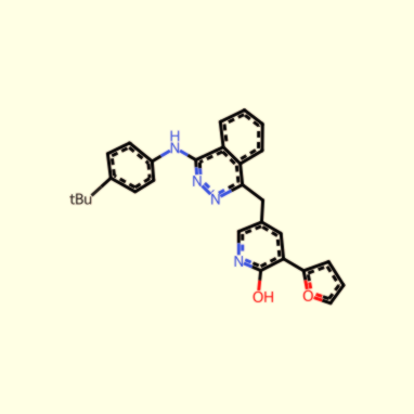 CC(C)(C)c1ccc(Nc2nnc(Cc3cnc(O)c(-c4ccco4)c3)c3ccccc23)cc1